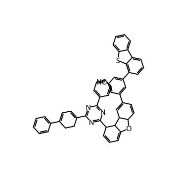 N#Cc1cc(C2=CC3C(C=C2)OC2=CC=CC(c4nc(C5=CC=C(c6ccccc6)CC5)nc(-c5ccccc5)n4)C23)cc(-c2cccc3c2sc2ccccc23)c1